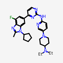 CCN(CC)C1CCN(c2ccc(Nc3nccc(-c4cc(F)c5nc(C)n(C6CCCC6)c5c4)n3)nc2)CC1